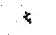 c1ccc(-n2c3ccccc3c3cc(Oc4ccc5c(c4)c4ccccc4n5-c4ccc5c(c4)c4ccncc4n5-c4ccccc4)ccc32)cc1